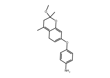 COC1(C)CC(C)=C2CC=C(Oc3ccc(N)cc3)C=C2O1